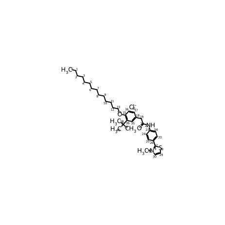 CCCCCCCCCCCCCCOc1ccc(CC(=O)Nc2ccc(-c3scc[n+]3C)cc2)cc1C(C)(C)C.[Cl-]